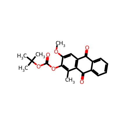 COc1cc2c(c(C)c1OC(=O)OC(C)(C)C)C(=O)c1ccccc1C2=O